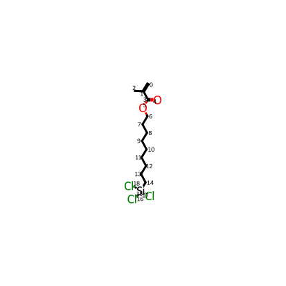 C=C(C)C(=O)OCCCCCCCCC[Si](Cl)(Cl)Cl